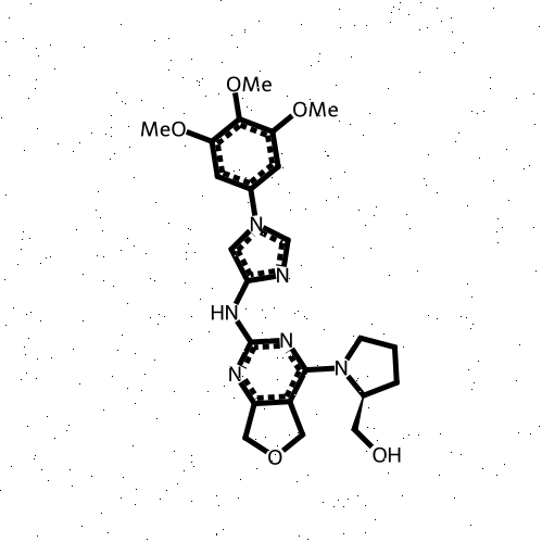 COc1cc(-n2cnc(Nc3nc4c(c(N5CCC[C@H]5CO)n3)COC4)c2)cc(OC)c1OC